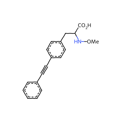 CONC(Cc1ccc(C#Cc2ccccc2)cc1)C(=O)O